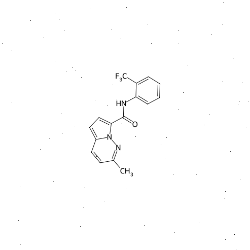 Cc1ccc2ccc(C(=O)Nc3ccccc3C(F)(F)F)n2n1